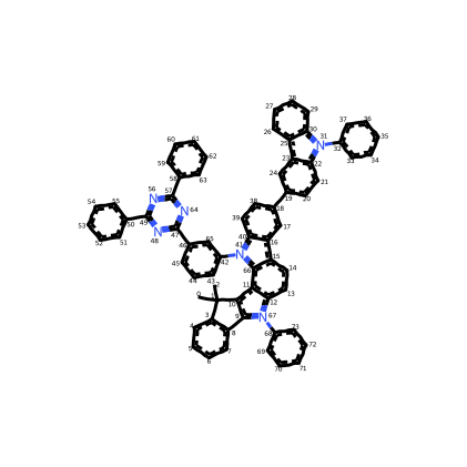 CC1(C)c2ccccc2-c2c1c1c(ccc3c4cc(-c5ccc6c(c5)c5ccccc5n6-c5ccccc5)ccc4n(-c4cccc(-c5nc(-c6ccccc6)nc(-c6ccccc6)n5)c4)c31)n2-c1ccccc1